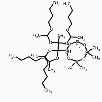 CCCCOC(C)OC(C)(OC(C)OCCCC)C(OC(C)OCCCC)(OC(C)OCCCC)[SiH]1O[SiH2]O[Si](C)(C)O[Si](C)(C)O1